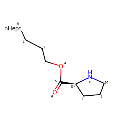 CCCCCCCCCCOC(=O)[C@@H]1CCCN1